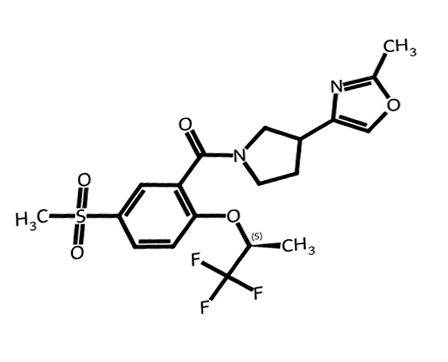 Cc1nc(C2CCN(C(=O)c3cc(S(C)(=O)=O)ccc3O[C@@H](C)C(F)(F)F)C2)co1